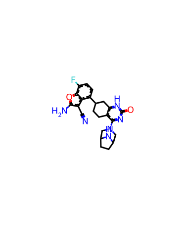 N#Cc1c(N)oc2c(F)ccc(C3CCc4c(N5CC6CCC(C5)N6)nc(=O)[nH]c4C3)c12